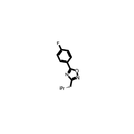 [CH2][C@@H](C)Cc1noc(-c2ccc(F)cc2)n1